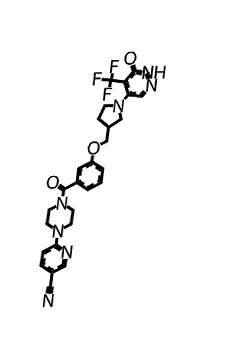 N#Cc1ccc(N2CCN(C(=O)c3cccc(OCC4CCN(c5cn[nH]c(=O)c5C(F)(F)F)C4)c3)CC2)nc1